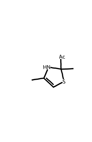 CC(=O)C1(C)NC(C)=CS1